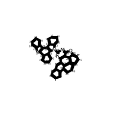 c1ccc2c(c1)cc(-c1nc(-n3c4ccccc4c4c5c6ccccc6sc5c5ccccc5c43)nc3oc4ccccc4c13)c1ccccc12